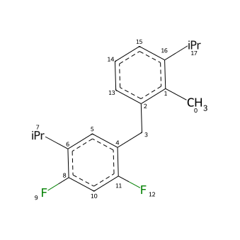 Cc1c(Cc2cc(C(C)C)c(F)cc2F)cccc1C(C)C